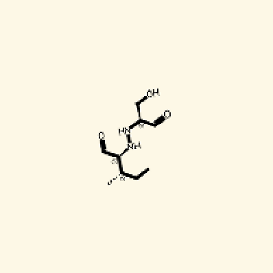 CC[C@H](C)[C@@H](C=O)NN[C@H](C=O)CO